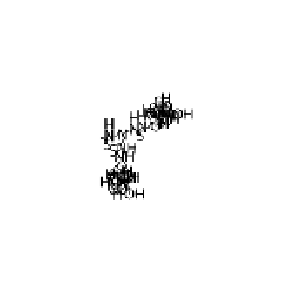 CC(=S)NCCN(CCNC(=S)NCC1O[C@@H]2OC3C(CO)O[C@H](OCCCCC1[C@H](O)C2O)C(O)[C@H]3O)CCNC(=S)NCC1O[C@@H]2OC3C(CO)O[C@H](OCCCCC1[C@H](O)C2O)C(O)[C@H]3O